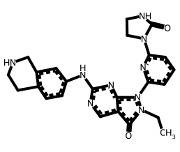 CCn1c(=O)c2cnc(Nc3ccc4c(c3)CNCC4)nc2n1-c1cccc(N2CCNC2=O)n1